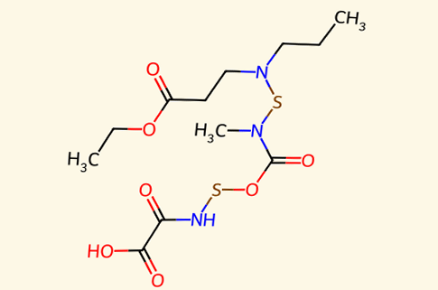 CCCN(CCC(=O)OCC)SN(C)C(=O)OSNC(=O)C(=O)O